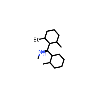 CCC1CCCC(C)C1/C(=N/C)C1CCCCC1C